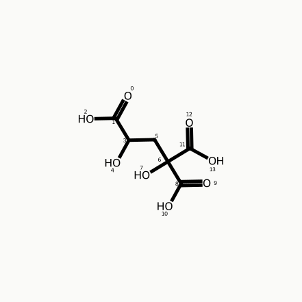 O=C(O)C(O)CC(O)(C(=O)O)C(=O)O